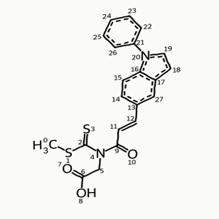 CSC(=S)N(CC(=O)O)C(=O)/C=C/c1ccc2c(ccn2-c2ccccc2)c1